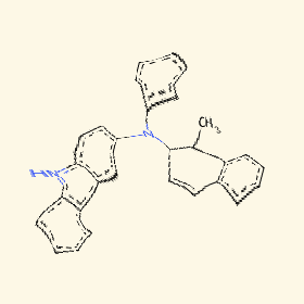 CC1c2ccccc2C=CC1N(c1ccccc1)c1ccc2[nH]c3ccccc3c2c1